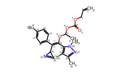 C=CCOC(=O)OC(C)O/C(=C(\c1ccc(C(C)(C)C)cc1)C1C=N1)c1c(Cl)c(C)nn1C